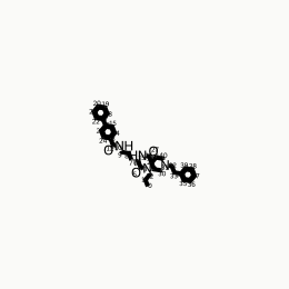 CCCN1C(=O)[C@H](CCCNC(=O)c2ccc(-c3ccccc3)cc2)NC(=O)C12CCN(CCc1ccccc1)CC2